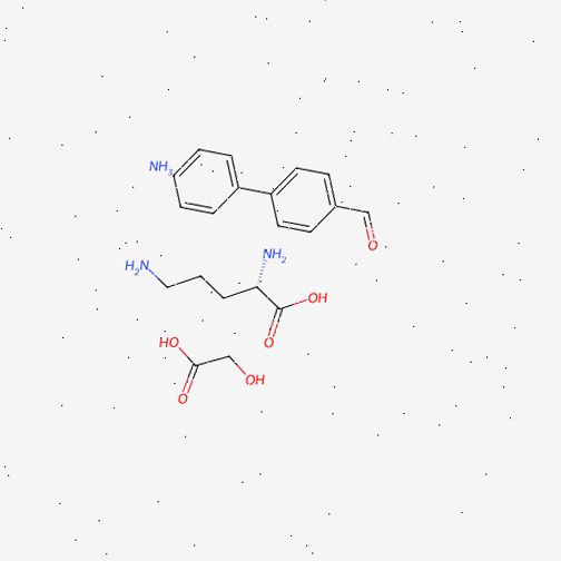 N.NCCC[C@H](N)C(=O)O.O=C(O)CO.O=Cc1ccc(-c2ccccc2)cc1